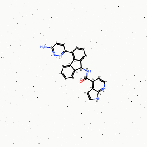 Nc1ccc(-c2cccc3c2-c2ccccc2C3NC(=O)c2ccnc3[nH]ccc23)nn1